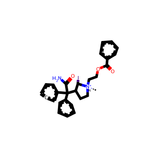 C[N@+]1(CCOC(=O)c2ccccc2)CCC(C(C(N)=O)(c2ccccc2)c2ccccc2)C1I